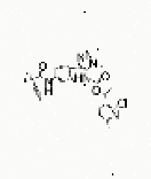 Cc1ccc(C(C)OC(=O)Nc2c(-c3ccc(NC(=O)C4(C#N)CC4)cn3)nnn2C)c(Cl)n1